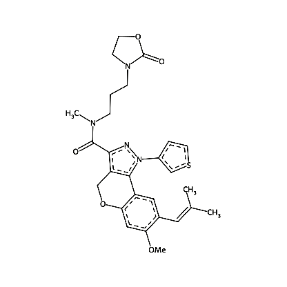 COc1cc2c(cc1C=C(C)C)-c1c(c(C(=O)N(C)CCCN3CCOC3=O)nn1-c1ccsc1)CO2